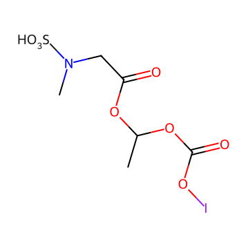 CC(OC(=O)CN(C)S(=O)(=O)O)OC(=O)OI